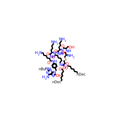 CCCCCCCCCCCCCCCC(=O)OCC(CSCC(N)C(=O)NC(CO)C(=O)NC(CCCCN)C(=O)NC(CCCCN)C(=O)NC(CCCCN)C(=O)NC(CCCCN)C(=O)Nc1ccc(Cn2c(O)nc3c(N)nc(NCCCC)nc32)cc1)OC(=O)CCCCCCCCCCCCCCC